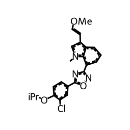 COC=Cc1cn(C)c2c(-c3noc(-c4ccc(OC(C)C)c(Cl)c4)n3)cccc12